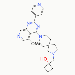 COc1cncc2nc(-c3ccncc3)nc(N3CCC4(CCN(CC5(O)CCC5)C4)CC3)c12